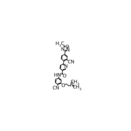 Cc1nc(-c2ccc(-c3ccc(C(=O)Nc4ccc(C#N)c(OCCN(C)C)c4)cn3)c(C#N)c2)no1